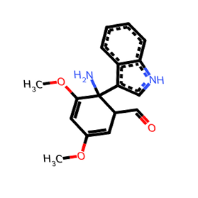 COC1=CC(C=O)C(N)(c2c[nH]c3ccccc23)C(OC)=C1